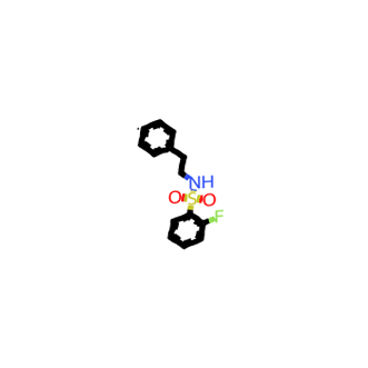 O=S(=O)(NCCc1cc[c]cc1)c1ccccc1F